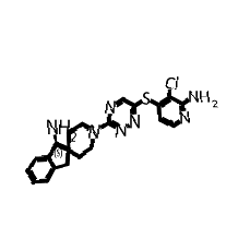 Nc1nccc(Sc2cnc(N3CCC4(CC3)Cc3ccccc3[C@H]4N)nn2)c1Cl